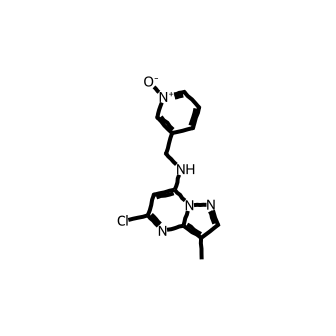 Cc1cnn2c(NCc3ccc[n+]([O-])c3)cc(Cl)nc12